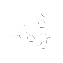 CC(=O)N1CCCC1c1cc(F)c(Cc2cncc(C(=O)NCc3cc4c(Cl)c[nH]c4cc3F)c2)cc1F